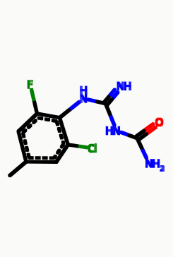 Cc1cc(F)c(NC(=N)NC(N)=O)c(Cl)c1